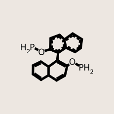 POC1=C(c2c(OP)ccc3ccccc23)C2C=CC=CC2C=C1